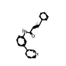 O=C(/C=C/c1ccccc1)Nc1cccc(-c2cccnc2)c1